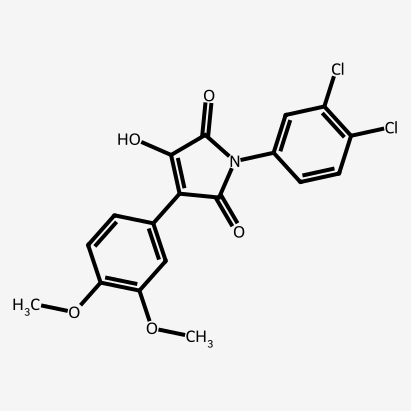 COc1ccc(C2=C(O)C(=O)N(c3ccc(Cl)c(Cl)c3)C2=O)cc1OC